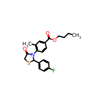 CCCCOC(=O)c1ccc(N2C(=O)CSC2c2ccc(F)cc2)c(C)c1